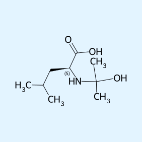 CC(C)C[C@H](NC(C)(C)O)C(=O)O